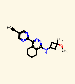 C#Cc1cnc(-c2nnc(NC3CC(C)(OC)C3)c3c2CCCC3)nc1